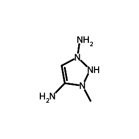 CN1NN(N)C=C1N